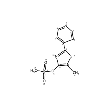 Cc1sc(-c2ccncc2)nc1OS(C)(=O)=O